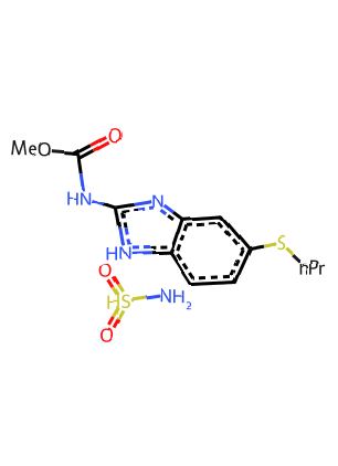 CCCSc1ccc2[nH]c(NC(=O)OC)nc2c1.N[SH](=O)=O